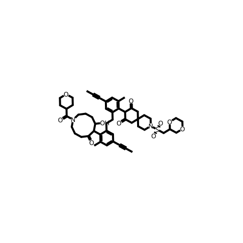 CC#Cc1cc(C)c(C2C(=O)CC3(CCN(S(=O)(=O)CC4COCCO4)CC3)CC2=O)c(CCc2cc(C#CC)cc(C)c2C2C(=O)CCCN(C(=O)C3CCOCC3)CCCC2O)c1